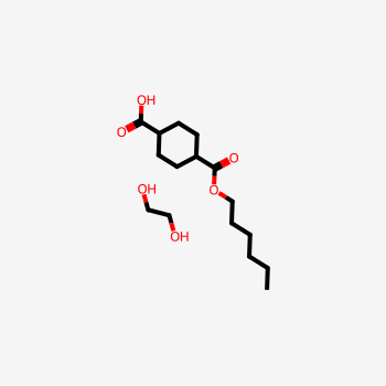 CCCCCCOC(=O)C1CCC(C(=O)O)CC1.OCCO